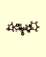 O=C(NCC1(O)CCSC1)c1cn2c(n1)CCCC2